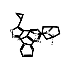 CC(=O)c1ccc(N2C3CC[C@H]2CC(OCc2c(-c4ccccc4C)noc2C2CC2)C3)nc1